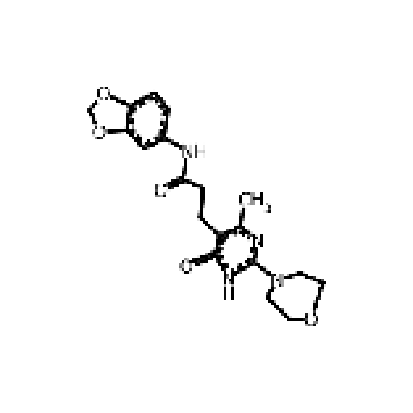 Cc1nc(N2CCOCC2)[nH]c(=O)c1CCC(=O)Nc1ccc2c(c1)OCO2